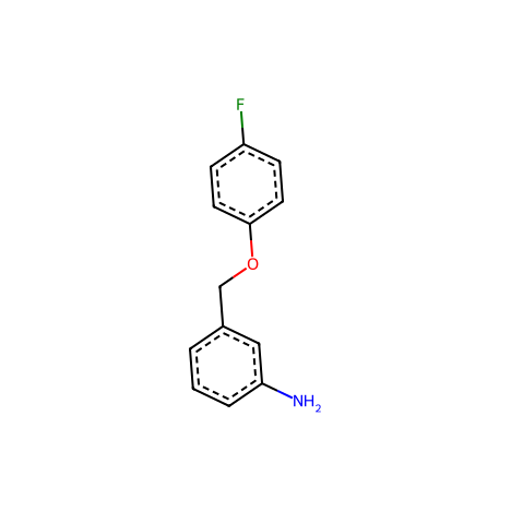 Nc1cccc(COc2ccc(F)cc2)c1